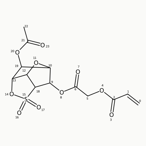 C=CC(=O)OCC(=O)OC1C2OC3C(OS(=O)(=O)C13)C2OC(C)=O